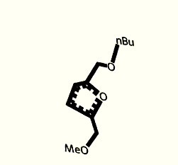 CCCCOCc1ccc(COC)o1